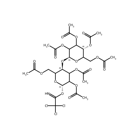 CC(=O)OCC1O[C@@H](O[C@@H]2C(COC(C)=O)O[C@@H](OC(=N)C(Cl)(Cl)Cl)C(OC(C)=O)C2OC(C)=O)C(OC(C)=O)C(OC(C)=O)[C@@H]1OC(C)=O